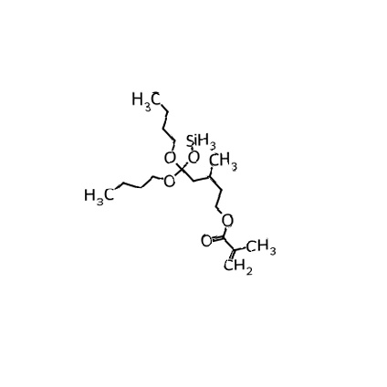 C=C(C)C(=O)OCCC(C)CC(O[SiH3])(OCCCC)OCCCC